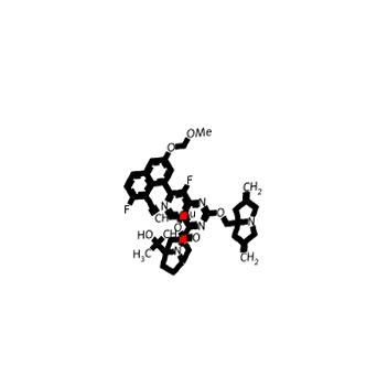 C#Cc1c(F)ccc2cc(OCOC)cc(-c3ncc4c(N5CC6CCC(C(C)(C)O)(C5)N6C(=O)OC(C)(C)C)nc(OCC56CC(=C)CN5CC(=C)C6)nc4c3F)c12